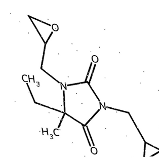 CCC1(C)C(=O)N(CC2CC2)C(=O)N1CC1CO1